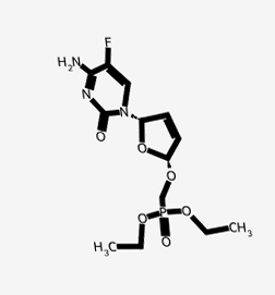 CCOP(=O)(CO[C@H]1C=C[C@@H](n2cc(F)c(N)nc2=O)O1)OCC